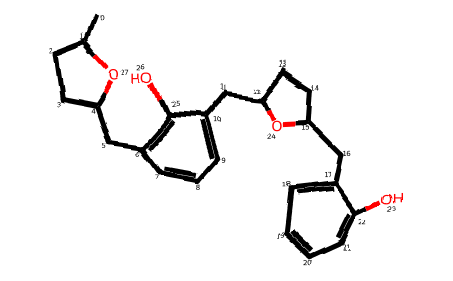 CC1CCC(Cc2cccc(CC3CCC(Cc4ccccc4O)O3)c2O)O1